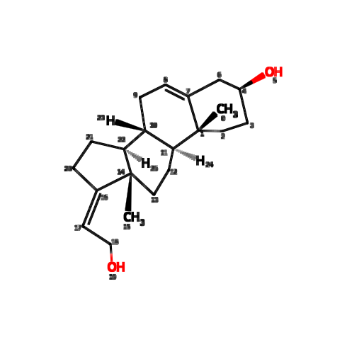 C[C@]12CC[C@H](O)CC1=CC[C@@H]1[C@@H]2CC[C@]2(C)/C(=C\CO)CC[C@@H]12